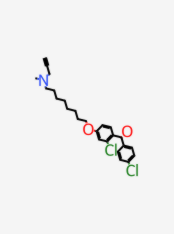 C#CCN(C)CCCCCCCCOc1ccc(C(=O)c2ccc(Cl)cc2)c(Cl)c1